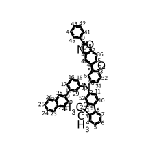 CC1(C)c2ccccc2-c2ccc(N(c3cccc(-c4ccc5ccccc5c4)c3)c3ccc4oc5cc6oc(-c7ccccc7)nc6cc5c4c3)cc21